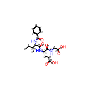 CC[C@H](C)[C@H](NC(=O)c1ccccc1)C(=O)N[C@@H](CCC(=O)O)C(=O)NCC(=O)O